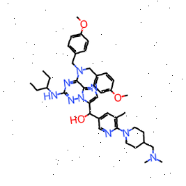 CCC(CC)Nc1nc(N(Cc2ccc(OC)cc2)Cc2ccc(OC)cc2)c2ncc(C(O)c3cnc(N4CCC(CN(C)C)CC4)c(C)c3)n2n1